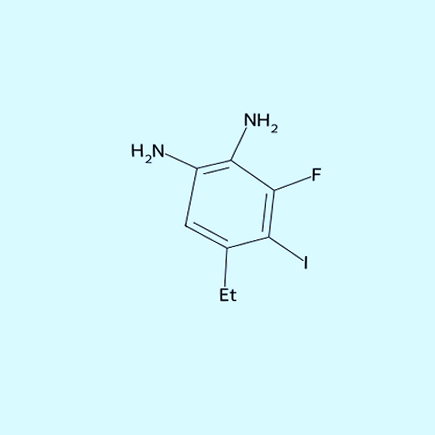 CCc1cc(N)c(N)c(F)c1I